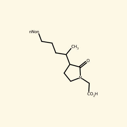 CCCCCCCCCCCCC(C)C1CCN(CC(=O)O)C1=O